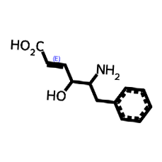 NC(Cc1ccccc1)C(O)/C=C/C(=O)O